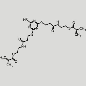 C=C(C)C(=O)OCCNC(=O)CCSc1nc(S)nc(SCCC(=O)NCCOC(=O)C(=C)C)n1